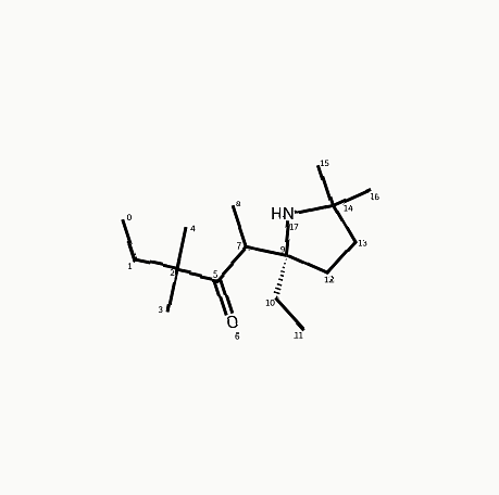 CCC(C)(C)C(=O)C(C)[C@]1(CC)CCC(C)(C)N1